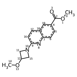 COC(=O)c1ccc2nc(N3CC(OC)C3)ccc2c1